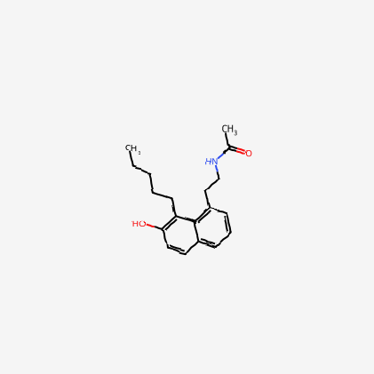 CCCCCc1c(O)ccc2cccc(CCNC(C)=O)c12